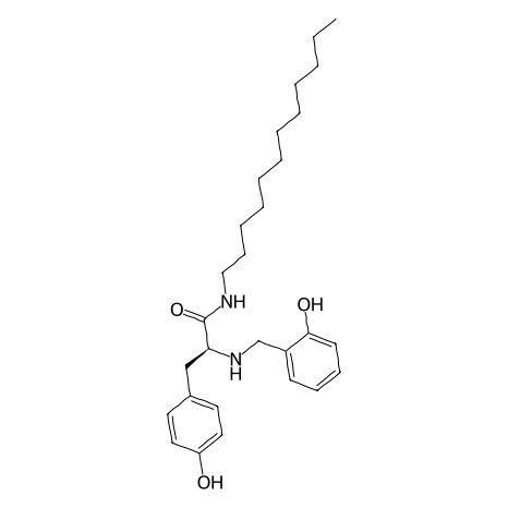 CCCCCCCCCCCCNC(=O)[C@H](Cc1ccc(O)cc1)NCc1ccccc1O